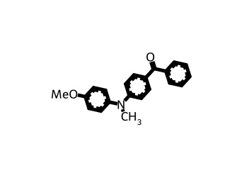 COc1ccc(N(C)c2ccc(C(=O)c3ccccc3)cc2)cc1